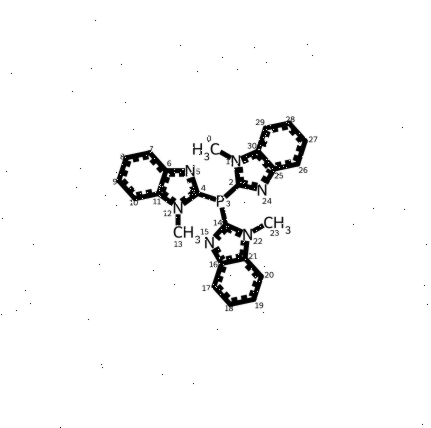 Cn1c(P(c2nc3ccccc3n2C)c2nc3ccccc3n2C)nc2ccccc21